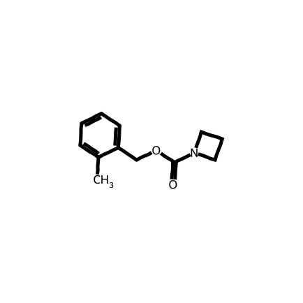 Cc1ccccc1COC(=O)N1CCC1